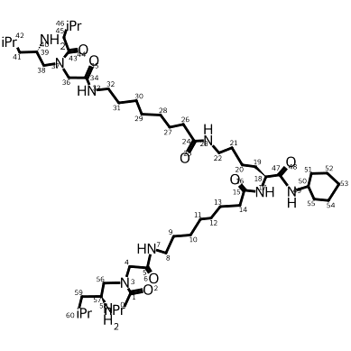 CCCC(=O)N(CC(=O)NCCCCCCCC(=O)N[C@@H](CCCCNC(=O)CCCCCCCNC(=O)CN(C[C@@H](N)CC(C)C)C(=O)CC(C)C)C(=O)NC1CCCCC1)C[C@@H](N)CC(C)C